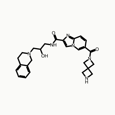 O=C(NCC(O)CN1CCc2ccccc2C1)c1cn2cc(C(=O)N3CC4(CNC4)C3)ccc2n1